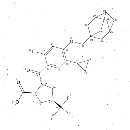 O=C(O)[C@@H]1C[C@H](C(F)(F)F)CN1C(=O)c1cc(C2CC2)c(OCC23CC4CC(C2)C(C4)C3)cc1F